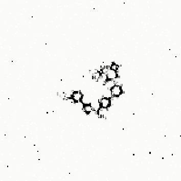 COc1cncc(-c2cn(C(C)c3ccc(N4CCC[C@@H](N(CC5CCC5)C(=O)OC(C)(C)C)C4)cn3)cn2)c1